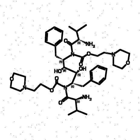 CC(C)[C@H](N)C(=O)N(C(=O)OCCN1CCOCC1)[C@@H](Cc1ccccc1)[C@H](O)[C@H](O)[C@H](Cc1ccccc1)N(C(=O)OCCN1CCOCC1)C(=O)[C@@H](N)C(C)C